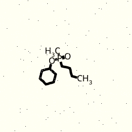 CCCCP(C)(=O)OC1CCCCC1